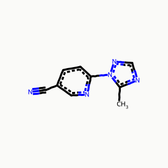 Cc1ncnn1-c1ccc(C#N)cn1